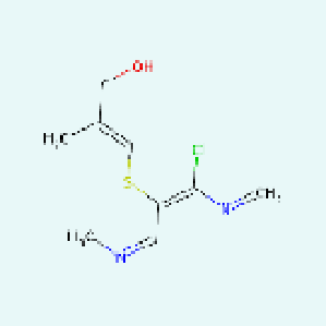 C=N/C(Cl)=C(\C=N/C)S/C=C(\C)CO